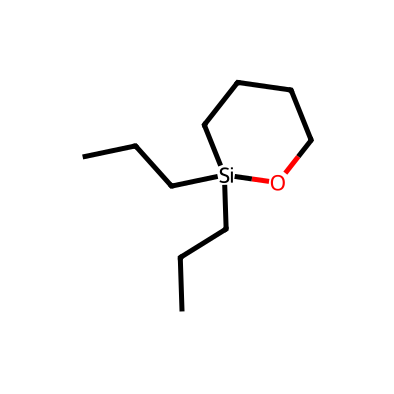 CCC[Si]1(CCC)CCCCO1